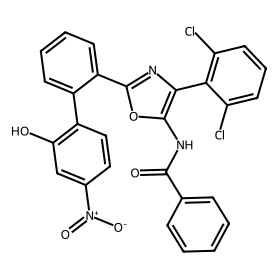 O=C(Nc1oc(-c2ccccc2-c2ccc([N+](=O)[O-])cc2O)nc1-c1c(Cl)cccc1Cl)c1ccccc1